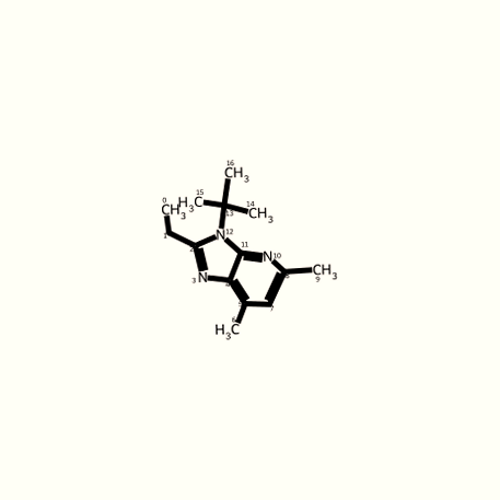 CCc1nc2c(C)cc(C)nc2n1C(C)(C)C